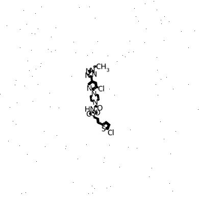 CCn1nnc(-c2cnc(N3CCN(C(=O)NS(=O)(=O)CC=Cc4ccc(Cl)s4)CC3)c(Cl)c2)n1